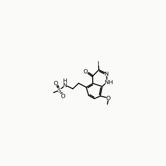 COc1ccc(CCNS(C)(=O)=O)c2c(=O)c(I)n[nH]c12